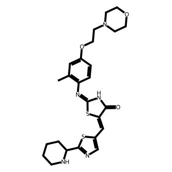 Cc1cc(OCCN2CCOCC2)ccc1N=C1NC(=O)C(=Cc2cnc(C3CCCCN3)s2)S1